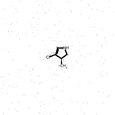 C[C@@H]1CNC=C1Cl